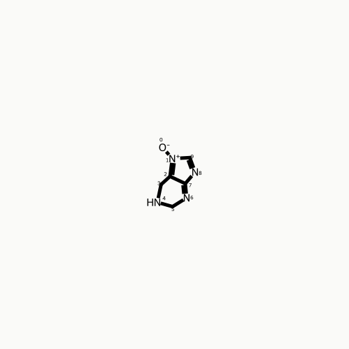 [O-][N+]1=C2CNCN=C2N=C1